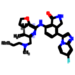 C=C(/C(CN(C)CCOC)=N\C(=C/C)Nc1ccc(-c2cnc3cc(F)ccn23)c2c1C(=O)NC2)[C@@H]1CCOC1